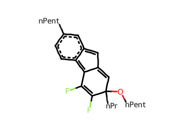 CCCCCOC1(CCC)C=C2C=c3cc(CCCCC)ccc3=C2C(F)=C1F